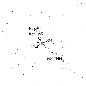 CCN(CC)C(COC(=O)[C@@H](N)CCCNC(=N)N)(C(C)=O)C(C)=O.Cl